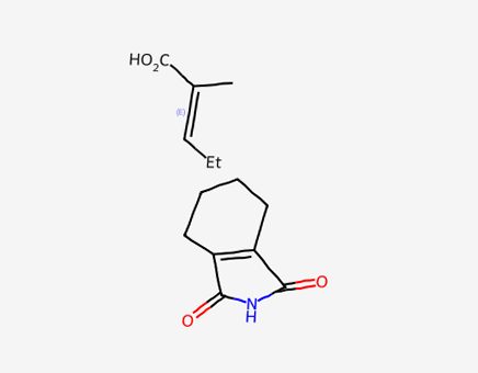 CC/C=C(\C)C(=O)O.O=C1NC(=O)C2=C1CCCC2